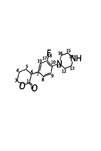 O=C1OCCCC1c1ccc(N2CCNCC2)c(F)c1